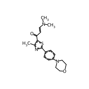 Cc1nc(-c2ccc(N3CCOCC3)cc2)sc1C(=O)C=CN(C)C